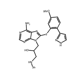 COc1ccc(-c2cc[nH]n2)c(Sc2nc3c(N)ncnc3n2CC(O)CNC(C)C)c1